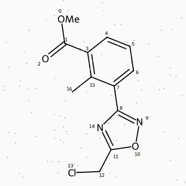 COC(=O)c1cccc(-c2noc(CCl)n2)c1C